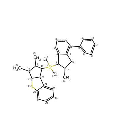 CCS(CC)(C1c2cccc(-c3ccccc3)c2CC1C)C1C(C)C(C)C2Sc3ccccc3C21